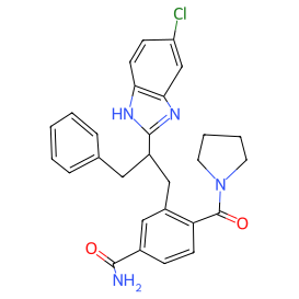 NC(=O)c1ccc(C(=O)N2CCCC2)c(CC(Cc2ccccc2)c2nc3cc(Cl)ccc3[nH]2)c1